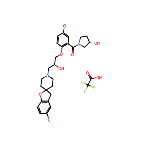 O=C(O)C(F)(F)F.O=C(c1cc(Cl)ccc1OC[C@@H](O)CN1CCC2(CC1)Cc1cc(Cl)ccc1O2)N1CC[C@H](O)C1